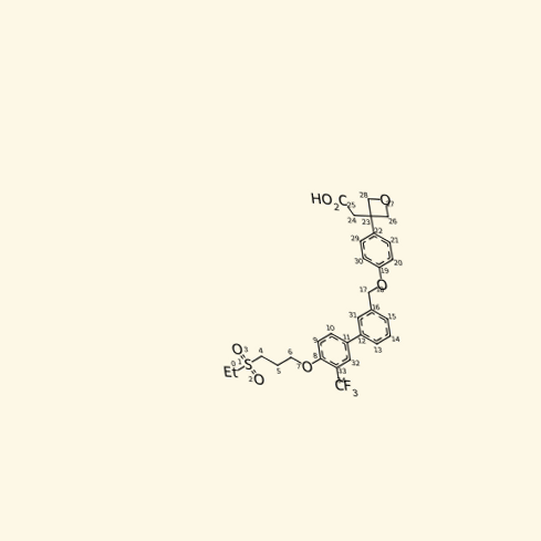 CCS(=O)(=O)CCCOc1ccc(-c2cccc(COc3ccc(C4(CC(=O)O)COC4)cc3)c2)cc1C(F)(F)F